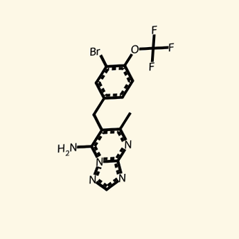 Cc1nc2ncnn2c(N)c1Cc1ccc(OC(F)(F)F)c(Br)c1